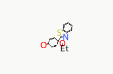 CCOC1(c2nc3ccccc3s2)C=CC(=O)C=C1